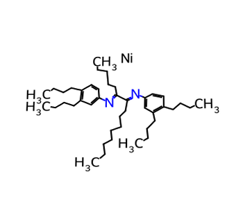 CCCCCCCCC(=Nc1ccc(CCCC)c(CCCC)c1)C(CCCCC)=Nc1ccc(CCCC)c(CCCC)c1.[Ni]